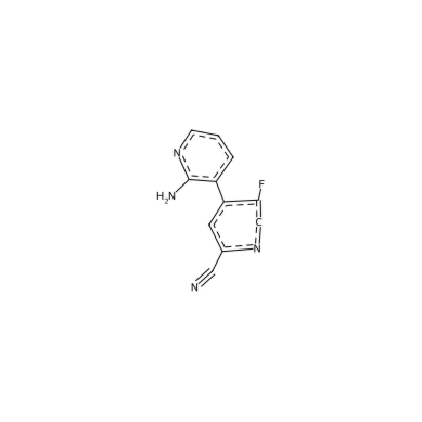 N#Cc1cc(-c2cccnc2N)c(F)cn1